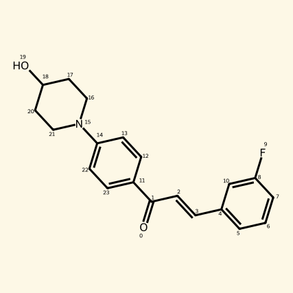 O=C(C=Cc1cccc(F)c1)c1ccc(N2CCC(O)CC2)cc1